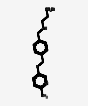 CCOC(=O)CCNCc1ccc(COc2ccc(C)nc2)cc1